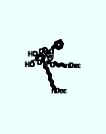 CCCCCCCCCCCCCCCCCCN(C(=O)OCCCCCCCCCCCCCC)[C@@H]1O[C@H](CO)[C@@H](O)[C@H](O)[C@H]1NC(=O)OCc1ccccc1